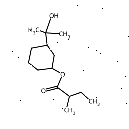 CCC(C)C(=O)OC1CCCC(C(C)(C)O)C1